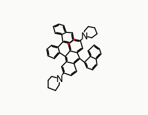 c1ccc(-c2c3cc(N4CCCCC4)ccc3c(-c3cccc4ccccc34)c3cc(N4CCCCC4)ccc23)c(-c2cccc3ccccc23)c1